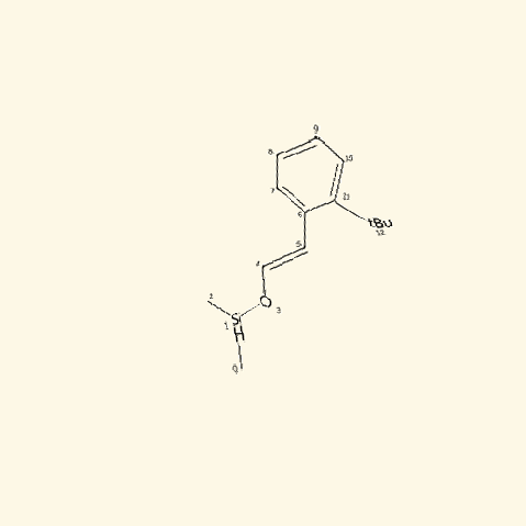 C[SiH](C)OC=Cc1ccccc1C(C)(C)C